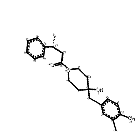 [CH2]c1cc(CC2(O)CCN(C(=O)C[C@@H](C)c3ccccc3)CC2)ccc1O